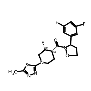 Cc1nnc(N2CC[C@@H](C(=O)N3OCCC3c3cc(F)cc(F)c3)[C@@H](F)C2)s1